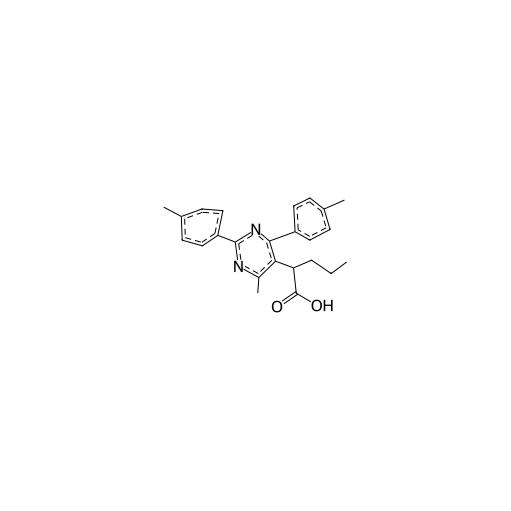 CCCC(C(=O)O)c1c(C)nc(-c2ccc(C)cc2)nc1-c1ccc(C)cc1